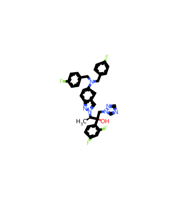 C[C@@H](n1cc2cc(N(Cc3ccc(F)cc3)Cc3ccc(F)cc3)ccc2n1)[C@](O)(Cn1cncn1)c1ccc(F)cc1F